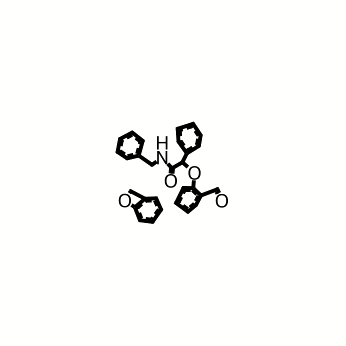 O=Cc1ccccc1OC(C(=O)NCc1ccccc1)c1ccccc1.c1ccc2c(c1)CO2